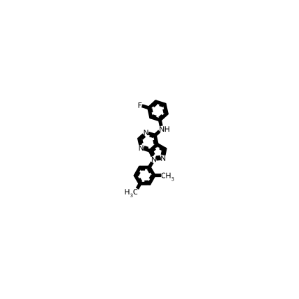 Cc1ccc(-n2ncc3c(Nc4cccc(F)c4)ncnc32)c(C)c1